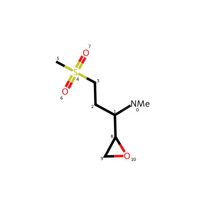 CNC(CCS(C)(=O)=O)C1CO1